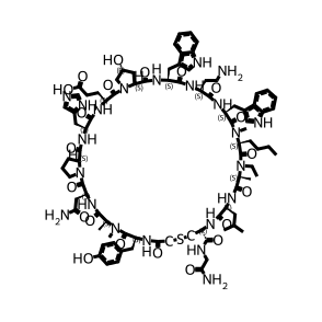 CCCC[C@H]1C(=O)N(CC)[C@@H](C)C(=O)N[C@@H](CC(C)C)C(=O)N[C@H](C(=O)NCC(N)=O)CSCC(=O)N[C@@H](Cc2ccc(O)cc2)C(=O)N(C)[C@@H](C)C(=O)N[C@@H](CC(N)=O)C(=O)N2CCC[C@H]2C(=O)N[C@@H](Cc2cnc[nH]2)C(=O)N[C@@H](CCC(=O)O)C(=O)N2C[C@H](O)C[C@H]2C(=O)N[C@@H](Cc2c[nH]c3ccccc23)C(=O)N[C@@H](CCN)C(=O)N[C@@H](Cc2c[nH]c3ccccc23)C(=O)N1C